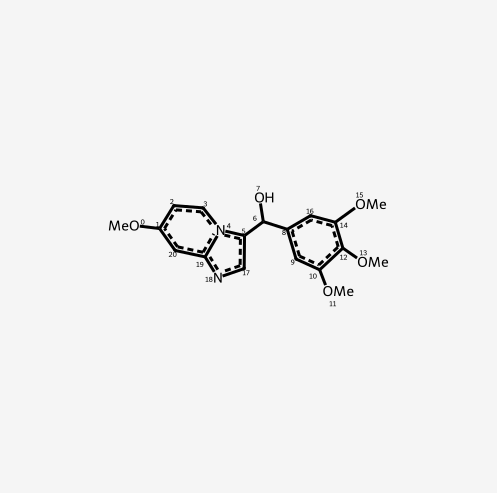 COc1ccn2c(C(O)c3cc(OC)c(OC)c(OC)c3)cnc2c1